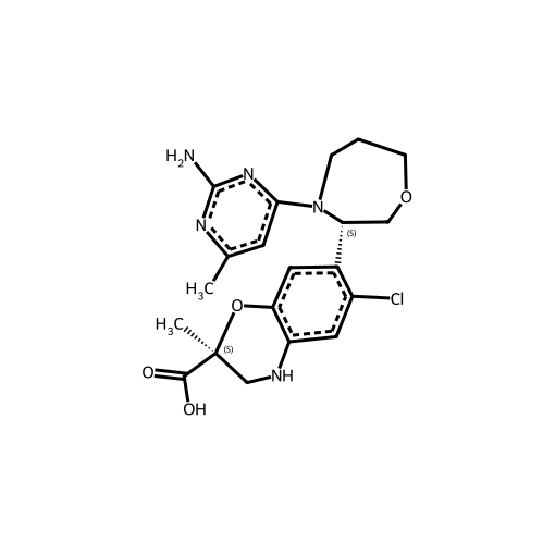 Cc1cc(N2CCCOC[C@@H]2c2cc3c(cc2Cl)NC[C@@](C)(C(=O)O)O3)nc(N)n1